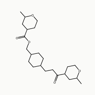 CC1CC(C(=O)CCC2CCC(COC(=O)C3CCOC(C)C3)CC2)CCO1